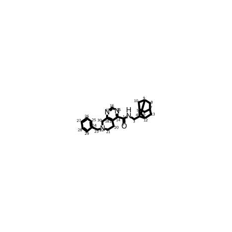 O=C(NCC1C2CC3CC(C2)CC1C3)c1ncnc2c1CCN(Cc1ccccc1)C2